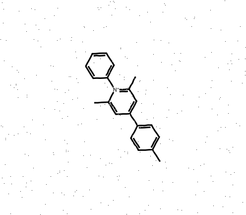 Cc1ccc(-c2cc(C)[n+](-c3ccccc3)c(C)c2)cc1